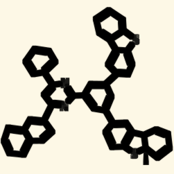 C[C@]12C=CC=CC1c1cc(-c3cc(-c4ccc5sc6ccccc6c5c4)cc(-c4nc(-c5ccccc5)cc(-c5ccc6ccccc6c5)n4)c3)ccc1S2